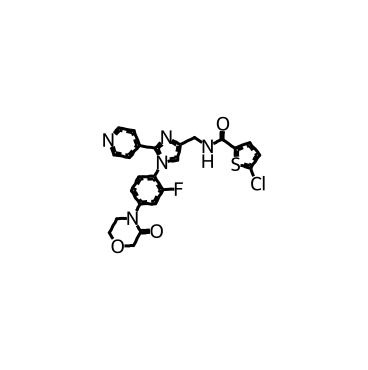 O=C(NCc1cn(-c2ccc(N3CCOCC3=O)cc2F)c(-c2ccncc2)n1)c1ccc(Cl)s1